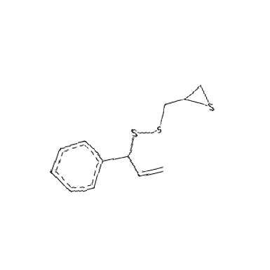 C=CC(SSCC1CS1)c1ccccc1